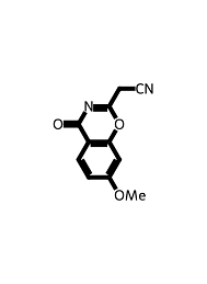 COc1ccc2c(=O)nc(CC#N)oc2c1